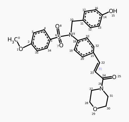 COc1ccc(S(=O)(=O)N(Cc2ccc(O)cc2)c2ccc(/C=C/C(=O)N3CCOCC3)cc2)cc1